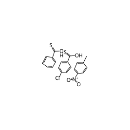 Cc1ccc([N+](=O)[O-])cc1.OC(=S)c1ccc(Cl)cc1.OC(=S)c1ccccc1